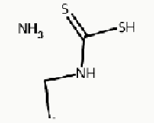 N.[CH2]CNC(=S)S